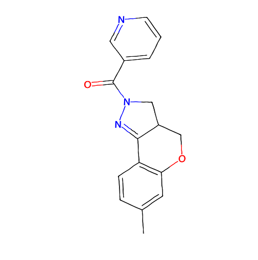 Cc1ccc2c(c1)OCC1CN(C(=O)c3cccnc3)N=C21